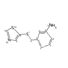 Nc1cccc(CSc2cncs2)c1